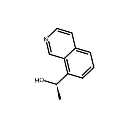 C[C@@H](O)c1cccc2ccncc12